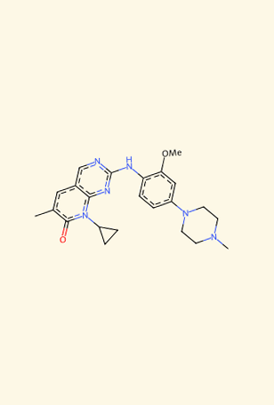 COc1cc(N2CCN(C)CC2)ccc1Nc1ncc2cc(C)c(=O)n(C3CC3)c2n1